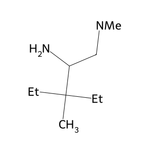 CCC(C)(CC)C(N)CNC